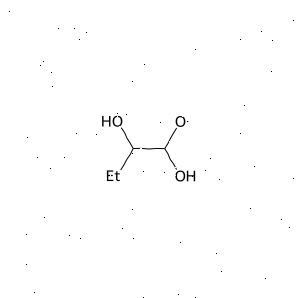 CCC(O)C([O])O